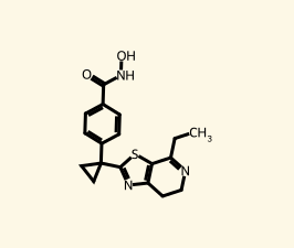 CCC1=NCCc2nc(C3(c4ccc(C(=O)NO)cc4)CC3)sc21